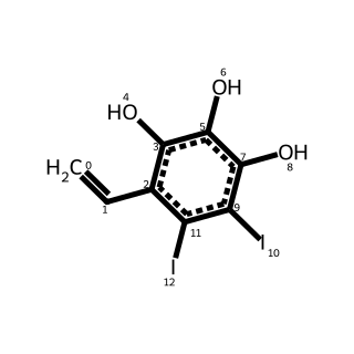 C=Cc1c(O)c(O)c(O)c(I)c1I